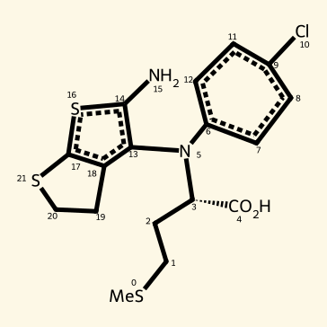 CSCC[C@@H](C(=O)O)N(c1ccc(Cl)cc1)c1c(N)sc2c1CCS2